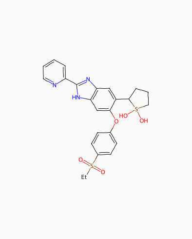 CCS(=O)(=O)c1ccc(Oc2cc3[nH]c(-c4ccccn4)nc3cc2C2CCCS2(O)O)cc1